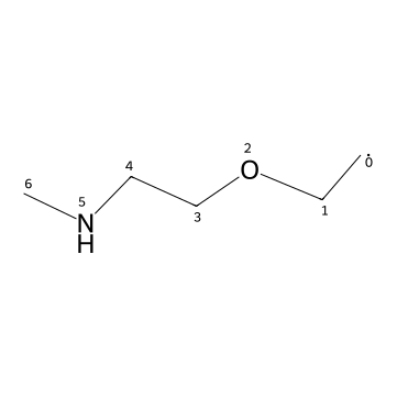 [CH2]COCCNC